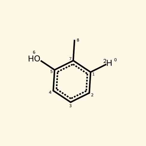 [2H]c1cccc(O)c1C